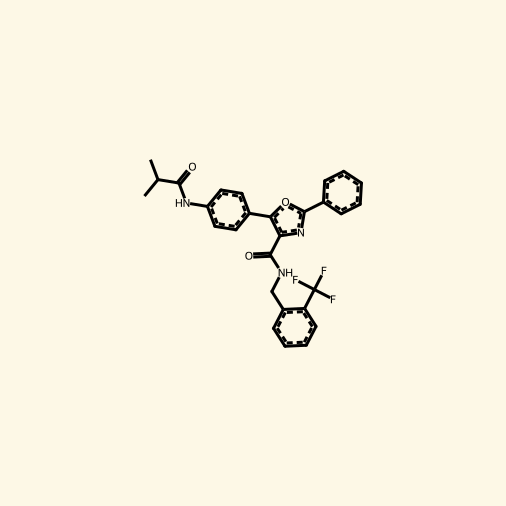 CC(C)C(=O)Nc1ccc(-c2oc(-c3ccccc3)nc2C(=O)NCc2ccccc2C(F)(F)F)cc1